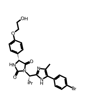 Cc1nc([C@H](C(C)C)N2C(=O)N[C@H](c3ccc(OCCO)cc3)C2=O)[nH]c1-c1ccc(Br)cc1